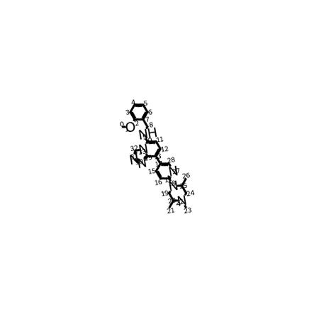 COc1ccccc1CNc1ccc(-c2ccc(N3CC(C)N(C)CC3C)nc2)c2nncn12